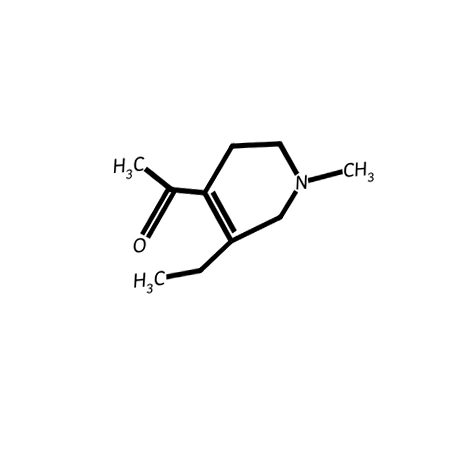 CCC1=C(C(C)=O)CCN(C)C1